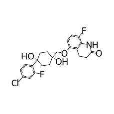 O=C1CCc2c(OC[C@]3(O)CC[C@](O)(c4ccc(Cl)cc4F)CC3)ccc(F)c2N1